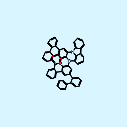 c1ccc(-c2ccccc2-c2cc3c(c(-c4ccccc4-c4ccccc4)c2)Oc2cc(-c4ccccc4-c4ccccc4)cc4c2B3c2cccc3c5ccccc5n-4c23)cc1